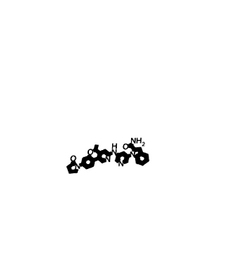 CC1Oc2cc(N3CCCC3=O)ccc2-c2cnc(Nc3cncc(-n4c(C(N)=O)cc5ccccc54)c3)cc21